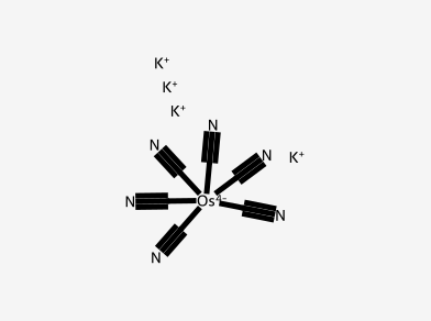 N#[C][Os-4]([C]#N)([C]#N)([C]#N)([C]#N)[C]#N.[K+].[K+].[K+].[K+]